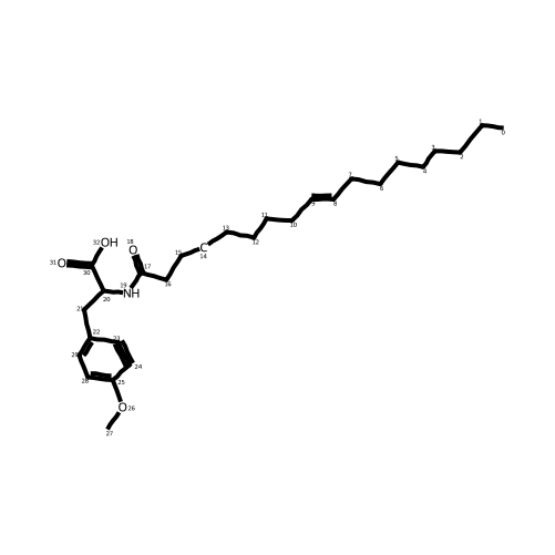 CCCCCCCCC=CCCCCCCCC(=O)NC(Cc1c#cc(OC)cc1)C(=O)O